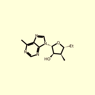 CC[C@H]1O[C@@H](n2cnc3c(C)ncnc32)[C@H](O)[C@@H]1C